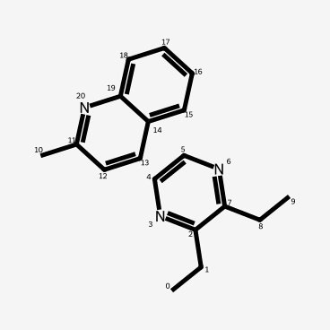 CCc1nccnc1CC.Cc1ccc2ccccc2n1